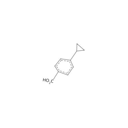 O=C(O)c1ccc(C2CC2)cc1